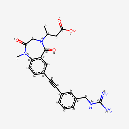 CC(CC(=O)O)N1CC(=O)N(C)c2ccc(C#Cc3cccc(CNC(=N)N)c3)cc2C1=O